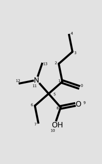 C=C(CCC)C(CC)(C(=O)O)N(C)C